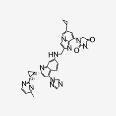 Cc1ccnc([C@H]2C[C@@H]2c2cc(-n3cncn3)c3ccc(NCc4cn5cc(C6CC6)cc(N6CC(=O)N(C)C6=O)c5n4)cc3n2)n1